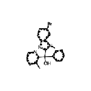 Cc1cccnc1C(O)(c1ccccc1)c1nc2ccc(Br)cc2n1C